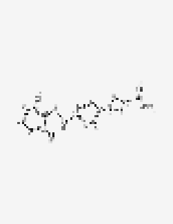 NC(=O)C1CN(c2ncc(OCc3c(Cl)cccc3Cl)cn2)C1